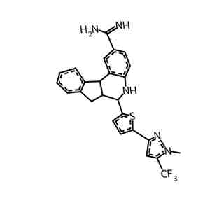 Cn1nc(-c2ccc(C3Nc4ccc(C(=N)N)cc4C4c5ccccc5CC34)s2)cc1C(F)(F)F